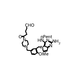 CCCCCNc1nc(N)nc2ccn(Cc3cc(CN4CCN(C(=O)CCCC=O)CC4)ccc3OC)c12